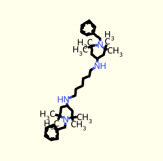 CC1(C)CC(NCCCCCCNC2CC(C)(C)N(Cc3ccccc3)C(C)(C)C2)CC(C)(C)N1Cc1ccccc1